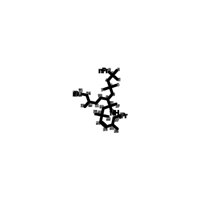 CCCC(C)(C)CC(C)(C)CC(CCC(C)CC(C)CC)C(C)(N)CC(C)(C)/C=C\C(C)CC(C)C